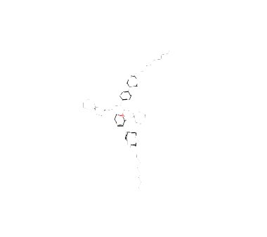 CCCCCCCCSc1ncc(-c2ccc(C(OC(c3ccc(-c4cnc(SCCCCCCCC)nc4)cc3)C3COC4(CCCCC4)O3)C3COC4(CCCCC4)O3)cc2)cn1